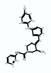 CC1CN(C(=O)Nc2cccnn2)CCC1=Cc1cccc(Oc2ncc(Cl)cn2)c1